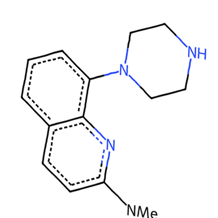 CNc1ccc2cccc(N3CCNCC3)c2n1